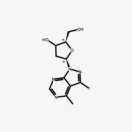 Cc1ncnc2c1c(I)nn2[C@H]1CC(O)[C@@H](CO)O1